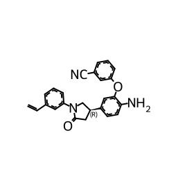 C=Cc1cccc(N2C[C@@H](c3ccc(N)c(Oc4cccc(C#N)c4)c3)CC2=O)c1